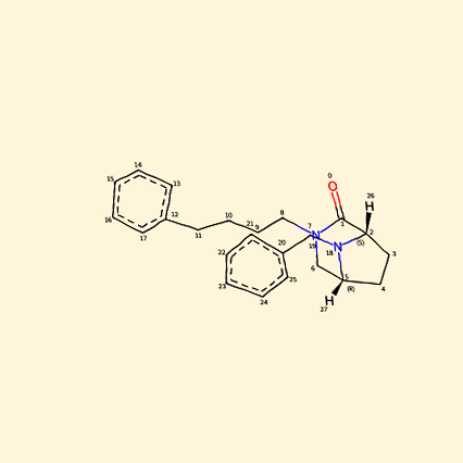 O=C1[C@@H]2CC[C@H](CN1CCCCc1ccccc1)N2Cc1ccccc1